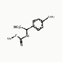 CCOC(=O)C(NC(=O)OC(C)(C)C)c1ccc(OC)nc1